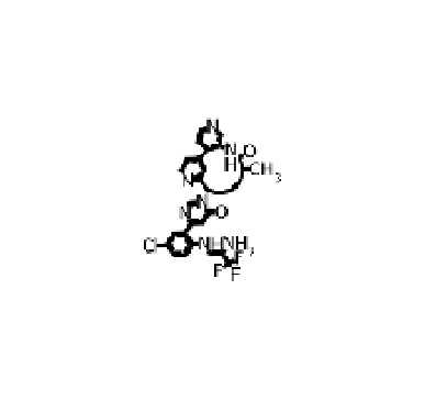 CC1CCC[C@H](n2cnc(-c3cc(Cl)ccc3N/C=C(\N)C(F)(F)F)cc2=O)c2cc(ccn2)-c2ccncc2NC1=O